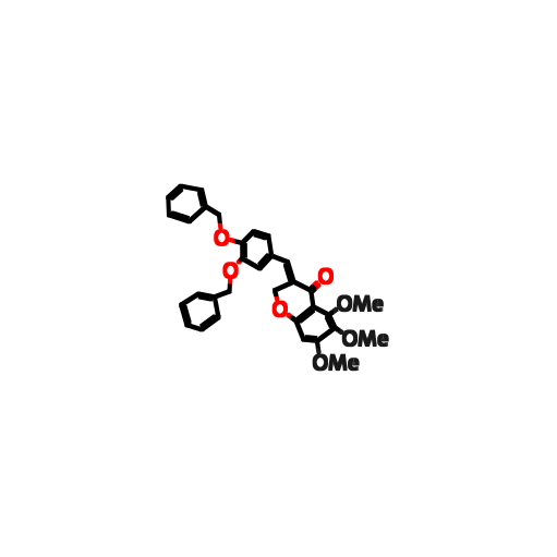 COc1cc2c(c(OC)c1OC)C(=O)/C(=C/c1ccc(OCc3ccccc3)c(OCc3ccccc3)c1)CO2